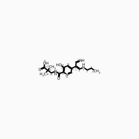 CCCN/C=C(\C=N)c1cnc(C(=O)NCC(C)(C)C(=O)O)c(O)c1